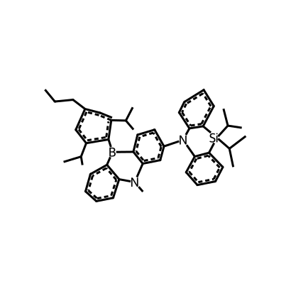 CCCc1cc(C(C)C)c(B2c3ccccc3N(C)c3cc(N4c5ccccc5[Si](C(C)C)(C(C)C)c5ccccc54)ccc32)c(C(C)C)c1